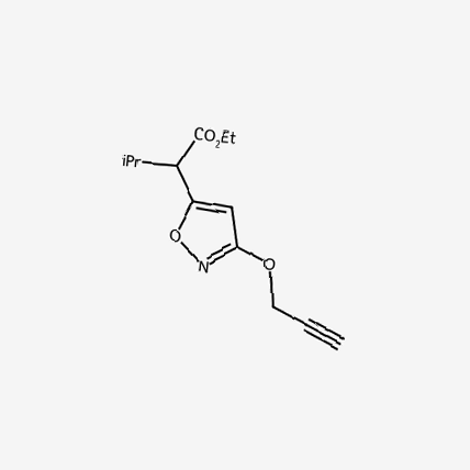 C#CCOc1cc(C(C(=O)OCC)C(C)C)on1